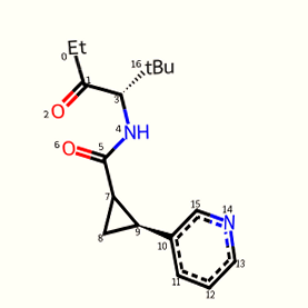 CCC(=O)[C@@H](NC(=O)C1C[C@@H]1c1cccnc1)C(C)(C)C